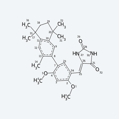 COc1cc(OC)c(-c2cc3c(cc2C)C(C)(C)CCC3(C)C)cc1C=C1NC(=O)NC1=O